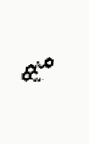 CSc1cccc2c1C(C)C(N(C)Cc1ccccc1)CC2